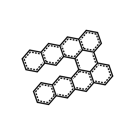 c1ccc2cc3c(cc2c1)cc1cccc2c4cccc5cc6cc7ccccc7cc6c(c54)c3c12